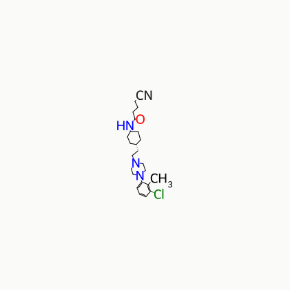 Cc1c(Cl)cccc1N1CCN(CC[C@H]2CC[C@H](NC(=O)CCCC#N)CC2)CC1